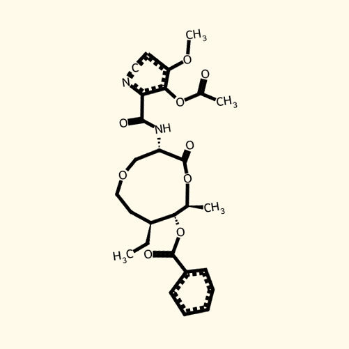 CC[C@H]1CCOC[C@H](NC(=O)c2nccc(OC)c2OC(C)=O)C(=O)O[C@@H](C)[C@@H]1OC(=O)c1ccccc1